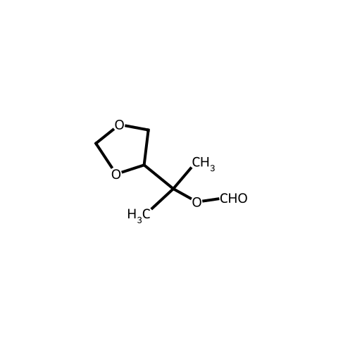 CC(C)(OC=O)C1COCO1